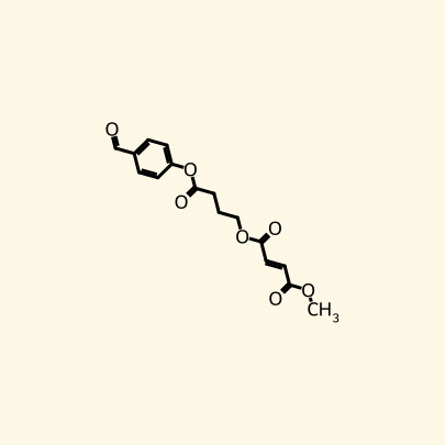 COC(=O)C=CC(=O)OCCCC(=O)Oc1ccc(C=O)cc1